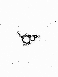 COCCOCCN1[C@@H](C)C/C=C/[C@H](O)[C@@H]2CC[C@H]2CN2CCCCC3C=C(Cl)C=CC3(C)COc3ccc(cc32)C(=O)NS1(=O)=O